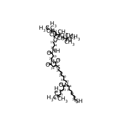 COC(C)(C)COC(C)(C)C(COCCCNC(=O)CCN1C(=O)CC(SCCCCCCN(CCCCCCS)C(=O)CCCC(C)(C)C)C1=O)CC(C)(C)OC